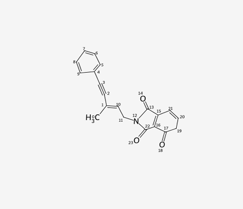 C/C(C#Cc1ccccc1)=C\CN1C(=O)C2=C(C(=O)CC=C2)C1=O